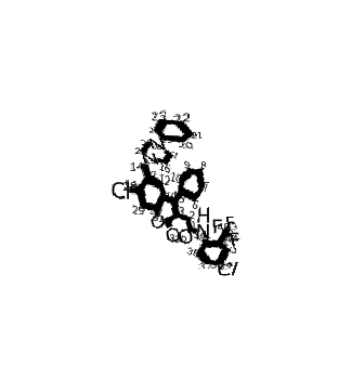 O=C(Cc1c(-c2ccccc2)c2cc(CN3CCN(c4ccccc4)CC3)c(Cl)cc2oc1=O)Nc1ccc(Cl)cc1C(F)(F)F